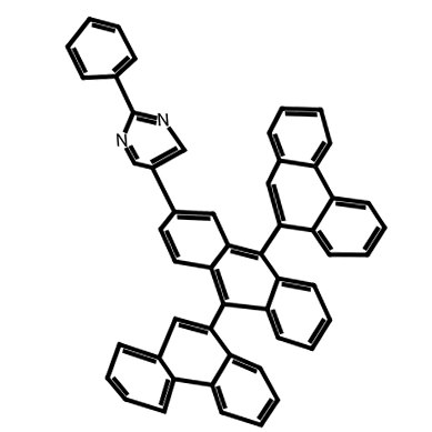 c1ccc(-c2ncc(-c3ccc4c(-c5cc6ccccc6c6ccccc56)c5ccccc5c(-c5cc6ccccc6c6ccccc56)c4c3)cn2)cc1